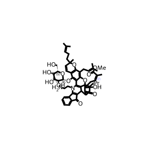 COC(=O)/C(C)=C\CC1(O)C(=O)C2CC(C(C)C)C13Oc1c(CC=C(C)C)c4c(c(O[C@H]5O[C@@H](CO)[C@H](O)[C@@H](O)[C@@H]5O)c1C1=C3C2C2=C(c3ccccc3C2=O)N1CCN)C=CC(C)(CCC=C(C)C)O4